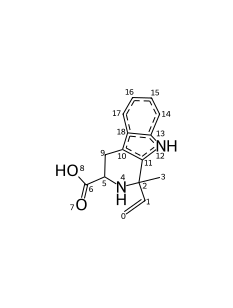 C=CC1(C)NC(C(=O)O)Cc2c1[nH]c1ccccc21